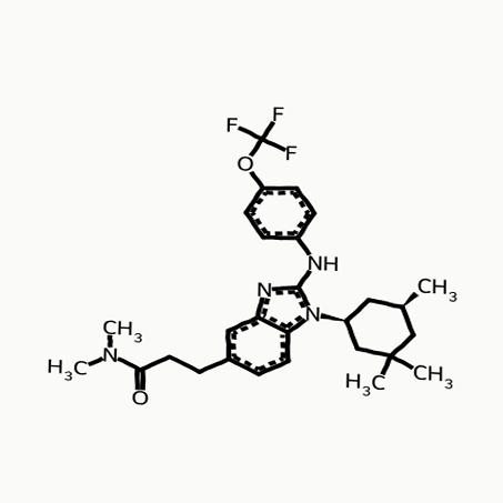 C[C@@H]1C[C@H](n2c(Nc3ccc(OC(F)(F)F)cc3)nc3cc(CCC(=O)N(C)C)ccc32)CC(C)(C)C1